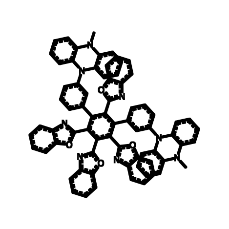 CN1c2ccccc2N(c2cccc(-c3c(-c4nc5ccccc5o4)c(-c4cccc(N5c6ccccc6N(C)c6ccccc65)c4)c(-c4nc5ccccc5o4)c(-c4nc5ccccc5o4)c3-c3nc4ccccc4o3)c2)c2ccccc21